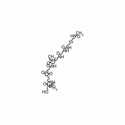 CCNC(=O)C(CCCCNC(=O)CCNC(=O)NCCSSCCNC(C)=O)NC(=O)CCN1C(=O)CC(SCC(NC(C)=O)C(=O)NCCO)C1=O